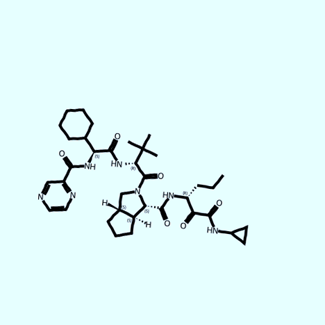 CCC[C@@H](NC(=O)[C@@H]1[C@H]2CCC[C@@H]2CN1C(=O)[C@H](NC(=O)[C@@H](NC(=O)c1cnccn1)C1CCCCC1)C(C)(C)C)C(=O)C(=O)NC1CC1